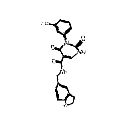 O=C(NCc1ccc2c(c1)CCO2)c1c[nH]c(=O)n(-c2cccc(C(F)(F)F)c2)c1=O